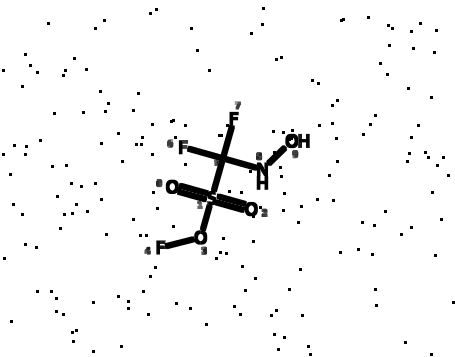 O=S(=O)(OF)C(F)(F)NO